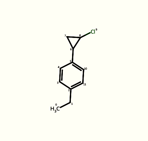 CCc1ccc(C2CC2Cl)cc1